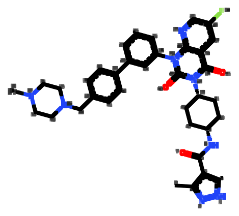 Cc1n[nH]cc1C(=O)N[C@H]1CC[C@@H](n2c(=O)c3cc(F)cnc3n(-c3cccc(-c4ccc(CN5CCN(C(C)C)CC5)cc4)c3)c2=O)CC1